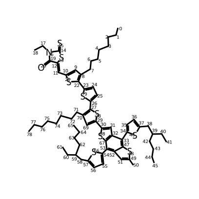 CCCCCCCCc1cc(/C=C2\SC(=S)N(CC)C2=O)sc1-c1ccc(-c2sc(-c3cc4c(-c5ccc(CC(CC)CCCC)s5)c5sc(C)cc5c(-c5ccc(CC(CC)CCCC)s5)c4s3)cc2CCCCCCCC)s1